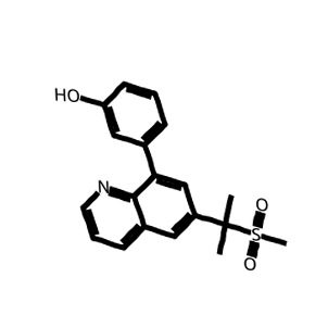 CC(C)(c1cc(-c2cccc(O)c2)c2ncccc2c1)S(C)(=O)=O